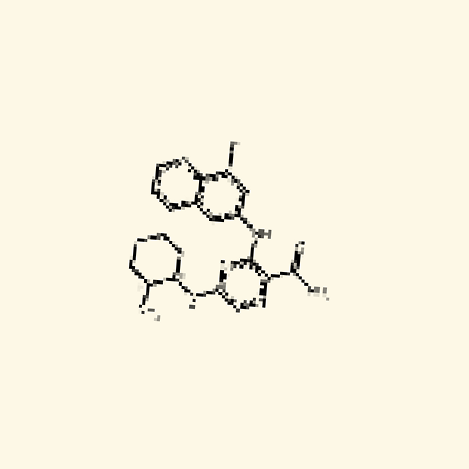 NC(=O)c1nnc(N[C@@H]2CCCC[C@@H]2N)nc1Nc1cc(Cl)c2ncccc2c1